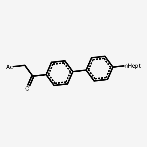 CCCCCCCc1ccc(-c2ccc(C(=O)CC(C)=O)cc2)cc1